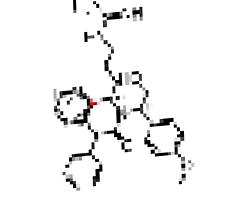 COc1ccc([C@H](CO)N(C(=O)C(c2ccccc2)c2ccccc2)[C@H](CCCNC(=N)N)C(N)=O)cc1